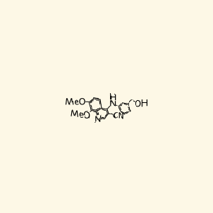 COc1ccc2c(Nc3cccc(CO)c3)c(C#N)cnc2c1OC